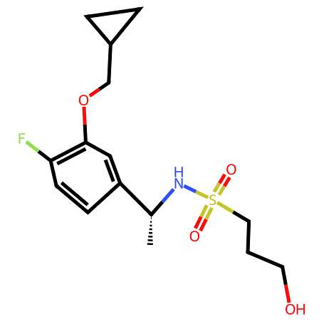 C[C@@H](NS(=O)(=O)CCCO)c1ccc(F)c(OCC2CC2)c1